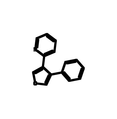 c1ccc(-c2cocc2-c2ccccn2)cc1